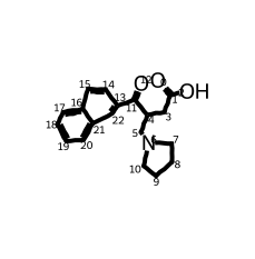 O=C(O)CC(CN1CCCC1)C(=O)c1ccc2ccccc2c1